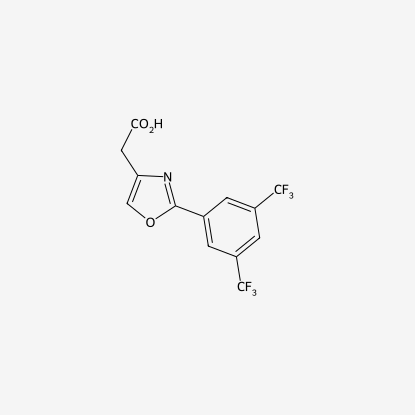 O=C(O)Cc1coc(-c2cc(C(F)(F)F)cc(C(F)(F)F)c2)n1